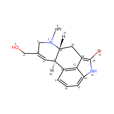 CCCN1CC(CO)=C[C@@H]2c3cccc4[nH]c(Br)c(c34)C[C@H]21